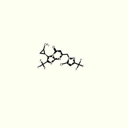 CC1C[C@@H]1c1c(C(F)(F)F)sc2nc(Cn3nc(C(F)(F)F)cc3Cl)cc(=O)n12